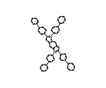 c1ccc(-c2ccc(-c3cc4cc5c(cc(-c6ccc(-c7ccccc7)cc6)n5-c5ccc(-c6ccccc6)cc5)cc4n3-c3ccc(-c4ccccc4)cc3)cc2)cc1